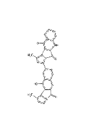 Cc1ccn2c1-c1c(nc3ccc(-c4cc(C)c5n4C(=O)c4[nH]c6ccccc6c(=O)c4-5)cc3c1O)C2=O